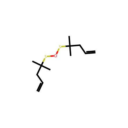 C=CCC(C)(C)SOSC(C)(C)CC=C